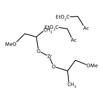 CCOC(=O)CC(C)=O.CCOC(=O)CC(C)=O.COCC(C)[O][Zr][O]C(C)COC